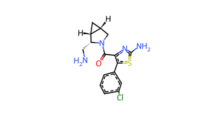 NC[C@@H]1[C@@H]2C[C@@H]2CN1C(=O)c1nc(N)sc1-c1cccc(Cl)c1